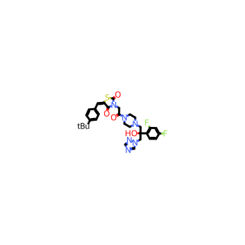 CC(C)(C)c1ccc(C=C2SC(=O)N(CC(=O)N3CCN(CC(O)(Cn4cncn4)c4ccc(F)cc4F)CC3)C2=O)cc1